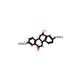 CCCCCCc1ccc2c(c1)C(=O)CC1c3ccc(CCCCCC)cc3C(=O)CC21